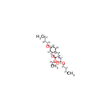 CCCCOC(=O)/C=C(/Cc1ccc(OCCCC)cc1)C(=O)OCC